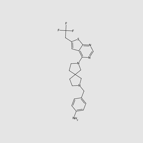 Nc1ccc(CN2CCC3(CCN(c4ncnc5sc(CC(F)(F)F)cc45)C3)C2)cc1